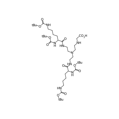 CC(C)(C)OC(=O)NCCCCC(NC(=O)OC(C)(C)C)C(=O)NCCN(CCNCC(=O)O)CCNC(=O)C(CCCCNC(=O)OC(C)(C)C)NC(=O)OC(C)(C)C